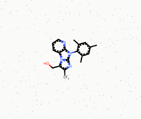 Cc1cc(C)c(-n2c3ncccc3n3c(CO)c(C(F)(F)F)nc23)c(C)c1